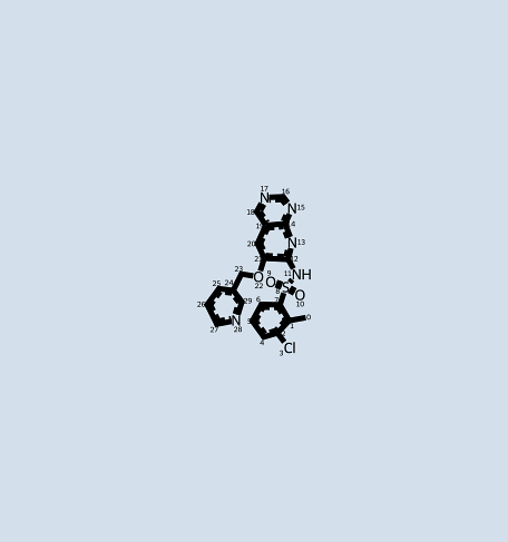 Cc1c(Cl)cccc1S(=O)(=O)Nc1nc2ncncc2cc1OCc1cccnc1